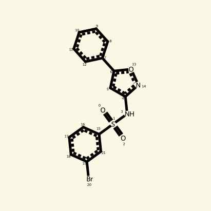 O=S(=O)(Nc1cc(-c2ccccc2)on1)c1cccc(Br)c1